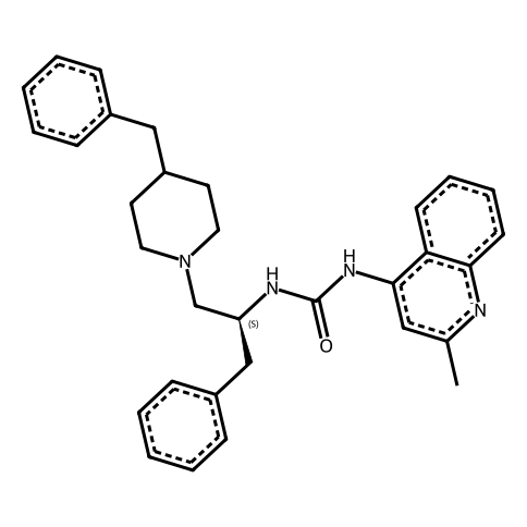 Cc1cc(NC(=O)N[C@@H](Cc2ccccc2)CN2CCC(Cc3ccccc3)CC2)c2ccccc2n1